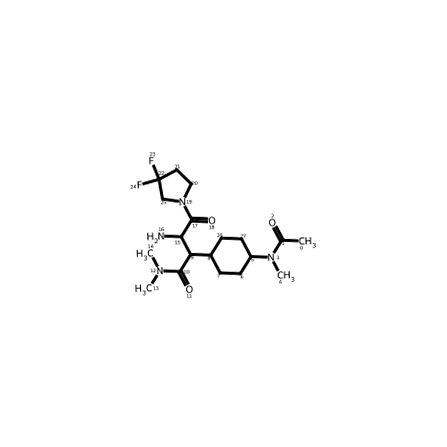 CC(=O)N(C)C1CCC(C(C(=O)N(C)C)C(N)C(=O)N2CCC(F)(F)C2)CC1